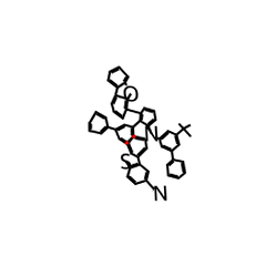 CC(C)(C)c1cc(-c2ccccc2)cc(N(c2ccc3sc4ccc(C#N)cc4c3c2)c2cccc(-c3cccc4c3oc3ccccc34)c2-c2cccc(-c3ccccc3)c2)c1